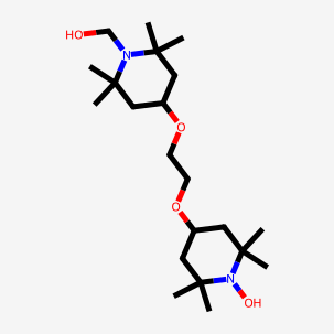 CC1(C)CC(OCCOC2CC(C)(C)N(CO)C(C)(C)C2)CC(C)(C)N1O